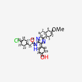 COc1ccc2c(c1)CCc1nc(NC(=O)Cc3ccc(Cl)cc3)c(-c3ccc(O)cc3)nc1-2